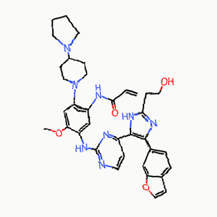 C=CC(=O)Nc1cc(Nc2nccc(-c3[nH]c(CCO)nc3-c3ccc4ccoc4c3)n2)c(OC)cc1N1CCC(N2CCCC2)CC1